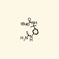 CC(C)(C)OC(=O)NC(C)(C)c1cccc(NC(N)=S)c1